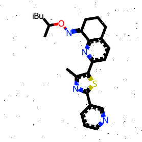 CCC(C)C(C)O/N=C1\CCCc2ccc(-c3sc(-c4cccnc4)nc3C)nc21